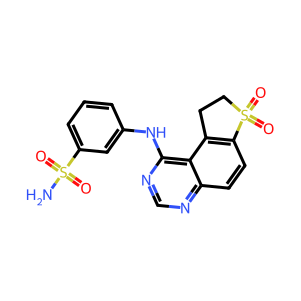 NS(=O)(=O)c1cccc(Nc2ncnc3ccc4c(c23)CCS4(=O)=O)c1